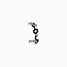 CC(C)n1nccc1COc1ccc(-c2c[nH]cn2)cc1